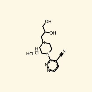 Cl.Cl.N#Cc1ccnnc1N1CCN(CC(O)CO)CC1